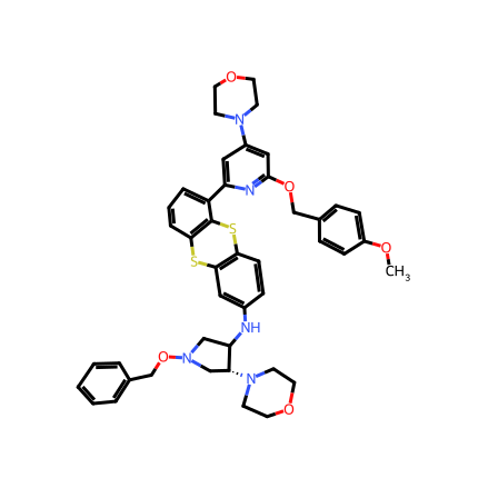 COc1ccc(COc2cc(N3CCOCC3)cc(-c3cccc4c3Sc3ccc(NC5CN(OCc6ccccc6)C[C@H]5N5CCOCC5)cc3S4)n2)cc1